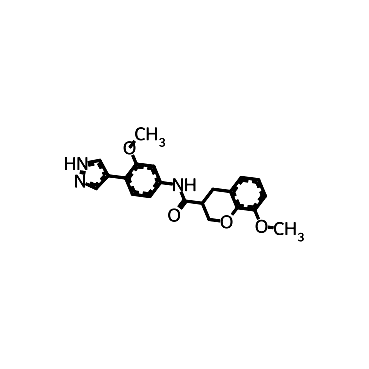 COc1cc(NC(=O)C2COc3c(cccc3OC)C2)ccc1-c1cn[nH]c1